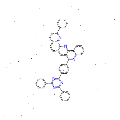 c1ccc(-c2ccc3ccc4cc5c(-c6ccc(-c7nc(-c8ccccc8)nc(-c8ccccc8)n7)cc6)nc6ccccc6c5nc4c3n2)cc1